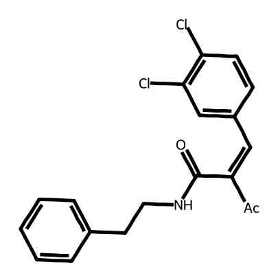 CC(=O)C(=Cc1ccc(Cl)c(Cl)c1)C(=O)NCCc1ccccc1